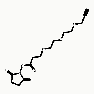 C#CCOCCOCCOCCC(=O)ON1C(=O)CCC1=O